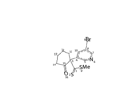 CSC(=S)C1(c2cncc(Br)c2)CCCCC1=O